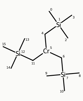 C[Si](C)(C)[CH2][Cr]([CH2][Si](C)(C)C)[CH2][Si](C)(C)C